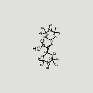 CN1C(C)(C)CC(C=C(C(=O)O)C2CC(C)(C)N(C)C(C)(C)C2)CC1(C)C